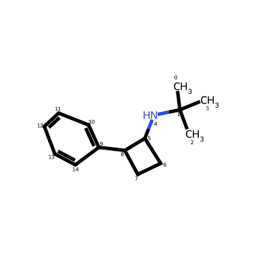 CC(C)(C)NC1CCC1c1ccccc1